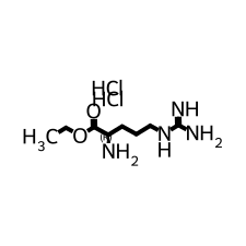 CCOC(=O)[C@H](N)CCCNC(=N)N.Cl.Cl